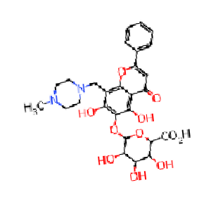 CN1CCN(Cc2c(O)c(OC3OC(C(=O)O)C(O)C(O)C3O)c(O)c3c(=O)cc(-c4ccccc4)oc23)CC1